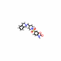 Cn1c(=O)oc2cc(S(=O)(=O)N3CCC(CN4CCc5ccccc5C4)CC3)ccc21